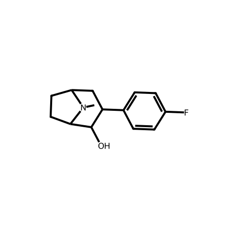 CN1C2CCC1C(O)C(c1ccc(F)cc1)C2